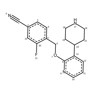 N#Cc1ccc(COc2ncccc2C2CCNCC2)c(F)c1